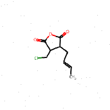 CC=CCC1C(=O)OC(=O)C1CCl